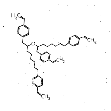 C=Cc1ccc(CCCCCCC(Cc2ccc(C=C)cc2)OC(CCCCCCc2ccc(C=C)cc2)Cc2ccc(C=C)cc2)cc1